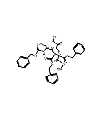 CC(C)(C)OC(=O)[C@@](CCC(=O)CBr)(C(=O)OCc1ccccc1)N(C(=O)OCc1ccccc1)C(=O)[C@H](CO)NC(=O)OCc1ccccc1